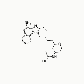 CCc1nc2c(N)nc3ccccc3c2n1CCCCC1CC(NC(=O)O)CCO1